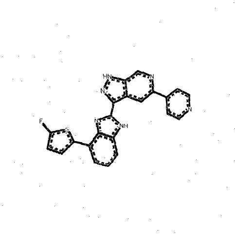 Fc1ccc(-c2cccc3[nH]c(-c4n[nH]c5cnc(-c6ccncc6)cc45)nc23)s1